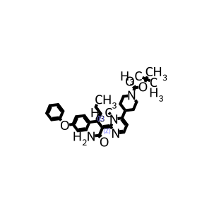 CC/C=C(/C(C(N)=O)=C1/N=CC=C(C2CCN(C(=O)OC(C)(C)C)CC2)N1C)c1ccc(Oc2ccccc2)cc1